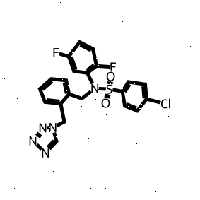 O=S(=O)(c1ccc(Cl)cc1)N(Cc1ccccc1Cn1cnnn1)c1cc(F)ccc1F